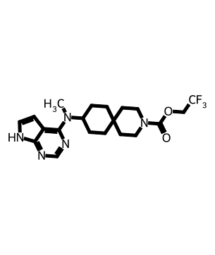 CN(c1ncnc2[nH]ccc12)C1CCC2(CC1)CCN(C(=O)OCC(F)(F)F)CC2